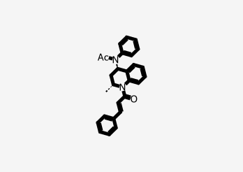 CC(=O)N(c1ccccc1)[C@H]1C[C@@H](C)N(C(=O)C=Cc2ccccc2)c2ccccc21